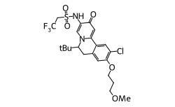 COCCCOc1cc2c(cc1Cl)-c1cc(=O)c(NS(=O)(=O)CC(F)(F)F)cn1C(C(C)(C)C)C2